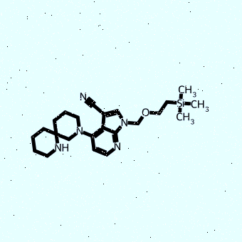 C[Si](C)(C)CCOCn1cc(C#N)c2c(N3CCCC4(CCCCN4)C3)ccnc21